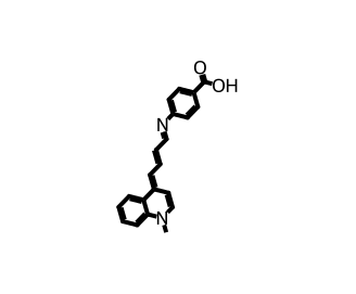 CN1C=CC(=CC=CC=Nc2ccc(C(=O)O)cc2)c2ccccc21